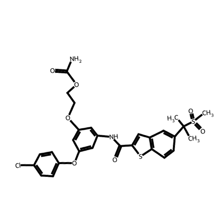 CC(C)(c1ccc2sc(C(=O)Nc3cc(OCCOC(N)=O)cc(Oc4ccc(Cl)cc4)c3)cc2c1)S(C)(=O)=O